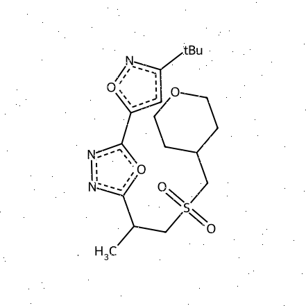 CC(CS(=O)(=O)CC1CCOCC1)c1nnc(-c2cc(C(C)(C)C)no2)o1